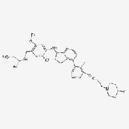 CCOc1cc(NC2CCc3c(-c4cccc(OCCCN5CCC(F)CC5)c4C)cccc32)c(Cl)cc1CN[C@@H](CO)C(C)=O